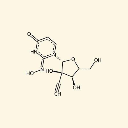 C#C[C@@]1(O)[C@H](O)[C@@H](CO)O[C@H]1n1ccc(=O)[nH]/c1=N\O